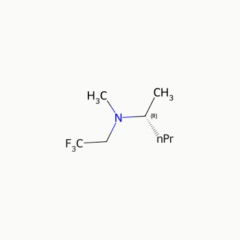 CCC[C@@H](C)N(C)CC(F)(F)F